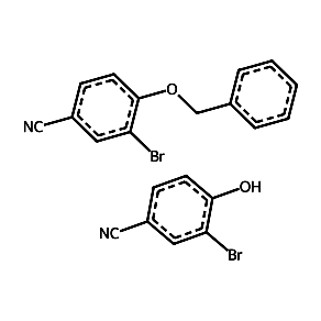 N#Cc1ccc(O)c(Br)c1.N#Cc1ccc(OCc2ccccc2)c(Br)c1